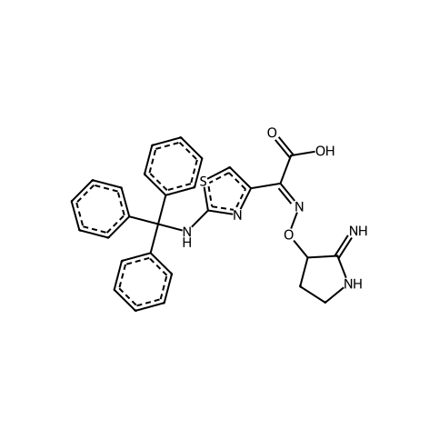 N=C1NCCC1O/N=C(/C(=O)O)c1csc(NC(c2ccccc2)(c2ccccc2)c2ccccc2)n1